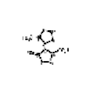 O=C(O)N1CCOS1.O=C1CSC(C(=O)O)N1